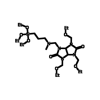 CCOCN1C(=O)N(COCC)C2C1N(COCC)C(=O)N2CN(C)CCC[Si](OCC)(OCC)OCC